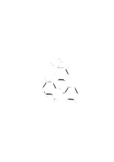 C.NC1(N)C=CC(c2ccccc2)=CC1.O=Cc1ccc(O)cc1